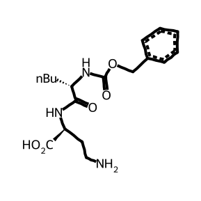 CCCC[C@H](NC(=O)OCc1ccccc1)C(=O)N[C@@H](CCN)C(=O)O